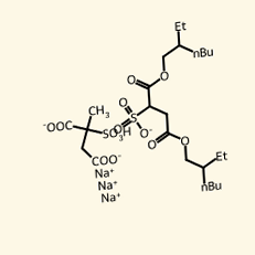 CC(CC(=O)[O-])(C(=O)[O-])S(=O)(=O)O.CCCCC(CC)COC(=O)CC(C(=O)OCC(CC)CCCC)S(=O)(=O)[O-].[Na+].[Na+].[Na+]